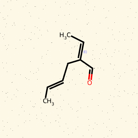 CC=CC/C([C]=O)=C\C